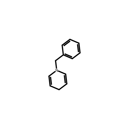 C1=CN(Cc2ccccc2)C=CC1